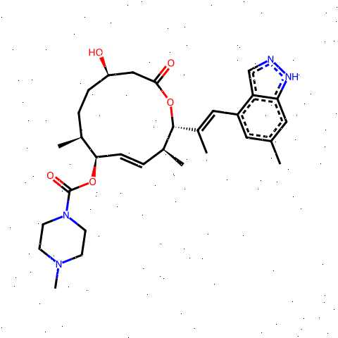 C/C(=C\c1cc(C)cc2[nH]ncc12)[C@H]1OC(=O)C[C@H](O)CC[C@H](C)[C@H](OC(=O)N2CCN(C)CC2)/C=C/[C@@H]1C